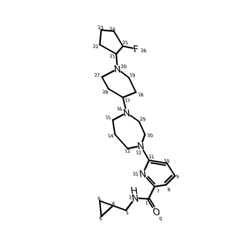 O=C(NCC1CC1)c1cccc(N2CCCN(C3CCN(C4CCCC4F)CC3)CC2)n1